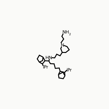 CC(C)C1C2CCC(C2)C1CCCCC(NCCCC1CCCN(CCCN)C1)C1C2CCC(C2)C1C(C)C